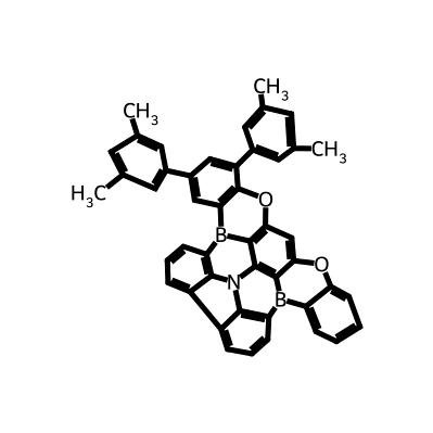 Cc1cc(C)cc(-c2cc3c(c(-c4cc(C)cc(C)c4)c2)Oc2cc4c5c6c2B3c2cccc3c7cccc(c7n-6c23)B5c2ccccc2O4)c1